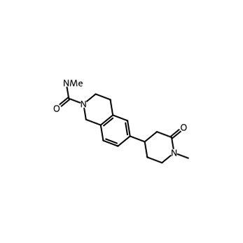 CNC(=O)N1CCc2cc(C3CCN(C)C(=O)C3)ccc2C1